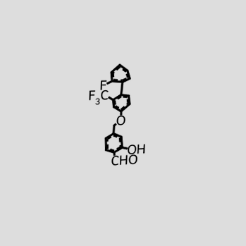 O=Cc1ccc(COc2ccc(-c3ccccc3F)c(C(F)(F)F)c2)cc1O